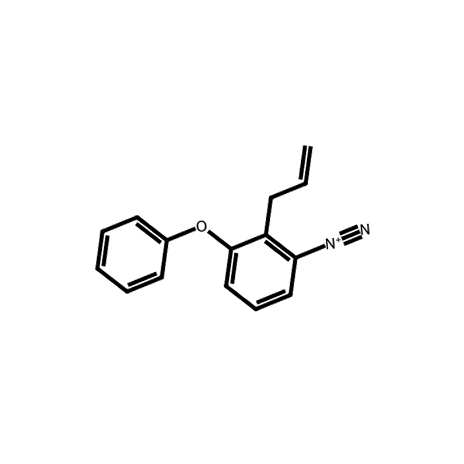 C=CCc1c([N+]#N)cccc1Oc1ccccc1